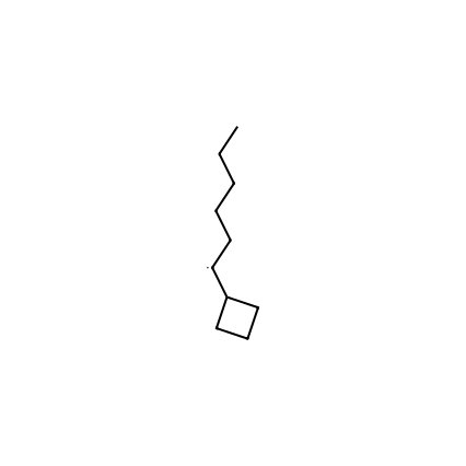 CCCCC[CH]C1CCC1